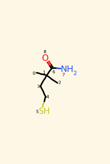 CC(C)(CCS)C(N)=O